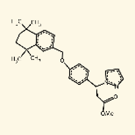 COC(=O)C[C@@H](c1ccc(OCc2ccc3c(c2)C(C)(C)CCC3(C)C)cc1)n1cccn1